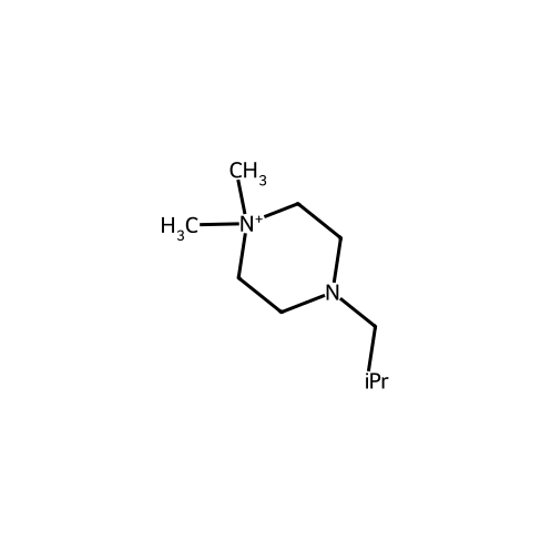 CC(C)CN1CC[N+](C)(C)CC1